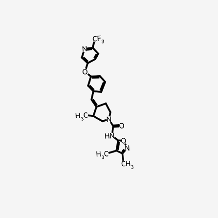 Cc1noc(NC(=O)N2CCC(=Cc3cccc(Oc4ccc(C(F)(F)F)nc4)c3)C(C)C2)c1C